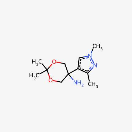 Cc1nn(C)cc1C1(N)COC(C)(C)OC1